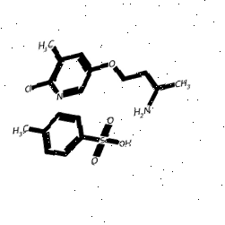 Cc1cc(OCCC(C)N)cnc1Cl.Cc1ccc(S(=O)(=O)O)cc1